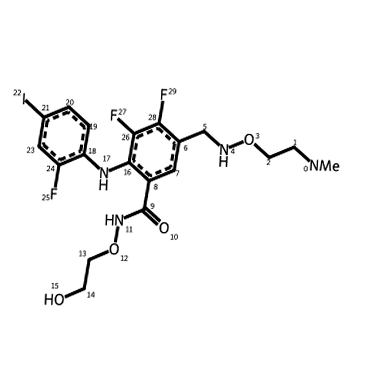 CNCCONCc1cc(C(=O)NOCCO)c(Nc2ccc(I)cc2F)c(F)c1F